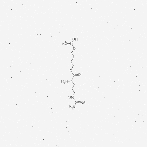 N=C(N)NCCCC(N)C(=O)OCCCCON(O)O